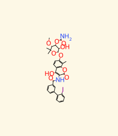 CO[C@@H]1[C@@H](OC(N)=O)[C@@H](O)[C@H](Oc2ccc3c(O)c(NC(=O)c4cccc(-c5ccccc5I)c4)c(=O)oc3c2C)OC1(C)C